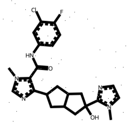 Cn1ccnc1C1(O)CC2CC(c3ncn(C)c3C(=O)Nc3ccc(F)c(Cl)c3)CC2C1